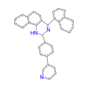 c1cncc(-c2ccc(C3N=C(c4cccc5ccccc45)c4ccc5ccccc5c4N3)cc2)c1